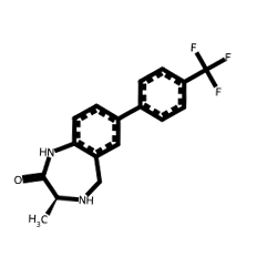 C[C@@H]1NCc2cc(-c3ccc(C(F)(F)F)cc3)ccc2NC1=O